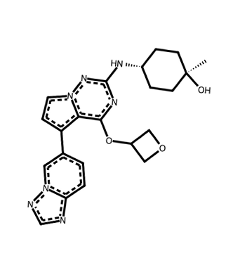 C[C@]1(O)CC[C@H](Nc2nc(OC3COC3)c3c(-c4ccc5ncnn5c4)ccn3n2)CC1